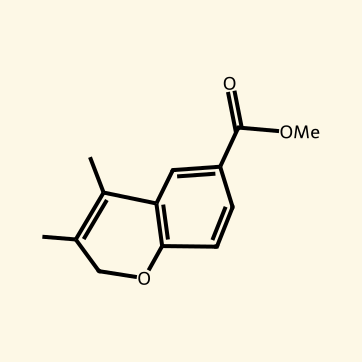 COC(=O)c1ccc2c(c1)C(C)=C(C)CO2